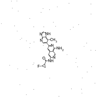 Cc1c(-c2cc3cc(NC(=O)C4CC4F)ncc3c(N)n2)cnc2nc[nH]c12